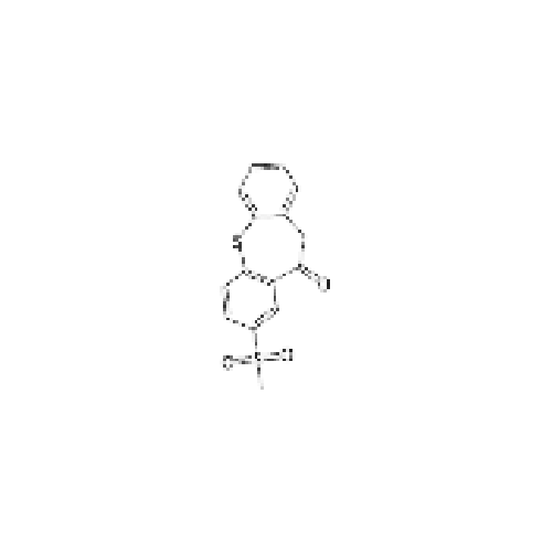 CS(=O)(=O)c1ccc2c(c1)C(=O)Cc1ccccc1S2